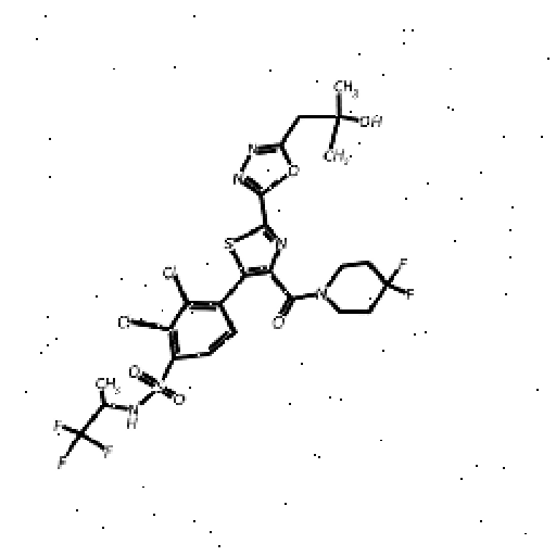 CC(NS(=O)(=O)c1ccc(-c2sc(-c3nnc(CC(C)(C)O)o3)nc2C(=O)N2CCC(F)(F)CC2)c(Cl)c1Cl)C(F)(F)F